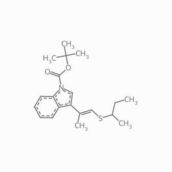 CCC(C)S/C=C(\C)c1cn(C(=O)OC(C)(C)C)c2ccccc12